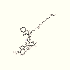 CCCCCCCCCCCCCCCCSCCCOP(=O)(O/C=C1/O[C@@](C#N)(c2ccc3c(N)ncnn23)[C@@H]2OC(C)(C)O[C@H]12)Oc1ccccc1Cl